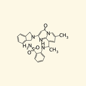 Cc1cc(C(C)Nc2ccccc2S(N)(=O)=O)c2nc(N3Cc4ccccc4C3)cc(=O)n2c1